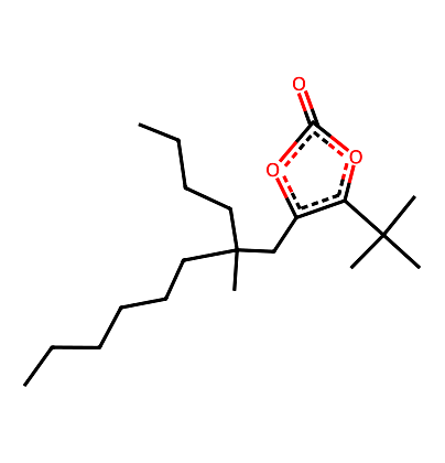 CCCCCCC(C)(CCCC)Cc1oc(=O)oc1C(C)(C)C